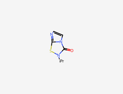 CC(C)n1sc2nccn2c1=O